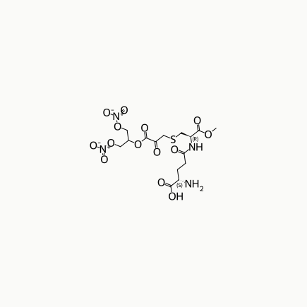 COC(=O)[C@H](CSCC(=O)C(=O)OC(CO[N+](=O)[O-])CO[N+](=O)[O-])NC(=O)CC[C@H](N)C(=O)O